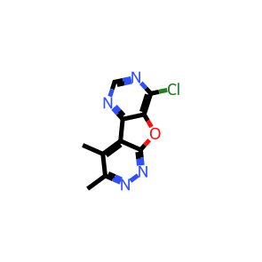 Cc1nnc2oc3c(Cl)ncnc3c2c1C